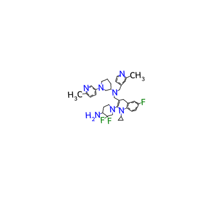 Cc1ccc(N2CCC[C@H](N(CC3=C(N4CCC(N)C(F)(F)C4)N(C4CC4)c4ccc(F)cc4C3)Cc3ccnc(C)c3)C2)cn1